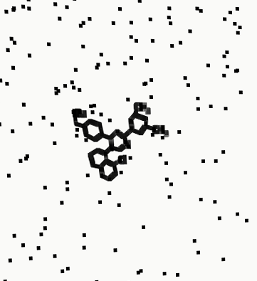 Cc1cc(C)cc(-c2cc(-c3ccc(CC(C)(C)C)cc3)c(-c3cccc4cccc(Cl)c34)cn2)c1